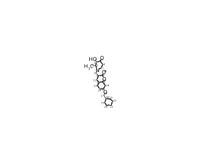 Cc1c(O)c(=O)ccn1Cc1cc2ccc(OCc3ccccc3)cc2oc1=O